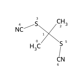 CC(C)(SC#N)SC#N